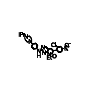 CCn1c(=O)c(-c2ccc([S+](C)[O-])cc2Cl)cc2cnc(Nc3ccc(N4CCN(C(C)C)CC4)cc3)nc21